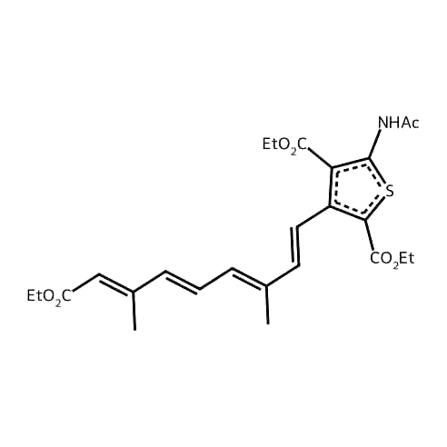 CCOC(=O)/C=C(\C)C=CC=C(C)C=Cc1c(C(=O)OCC)sc(NC(C)=O)c1C(=O)OCC